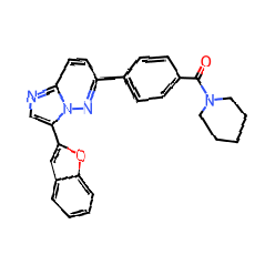 O=C(c1ccc(-c2ccc3ncc(-c4cc5ccccc5o4)n3n2)cc1)N1CCCCC1